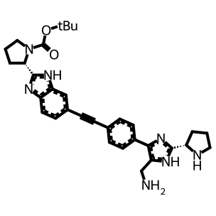 CC(C)(C)OC(=O)N1CCC[C@H]1c1nc2ccc(C#Cc3ccc(-c4nc([C@@H]5CCCN5)[nH]c4CN)cc3)cc2[nH]1